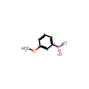 COc1cccc([PH](=O)Cl)c1